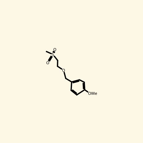 COc1ccc(COCCS(C)(=O)=O)cc1